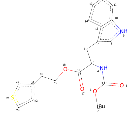 CC(C)(C)OC(=O)NC(Cc1c[nH]c2ccccc12)C(=O)OCCc1ccsc1